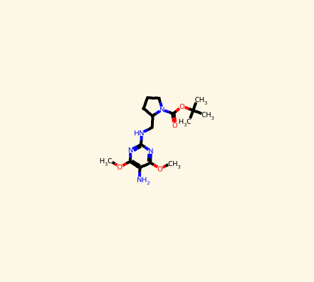 COc1nc(NCC2CCCN2C(=O)OC(C)(C)C)nc(OC)c1N